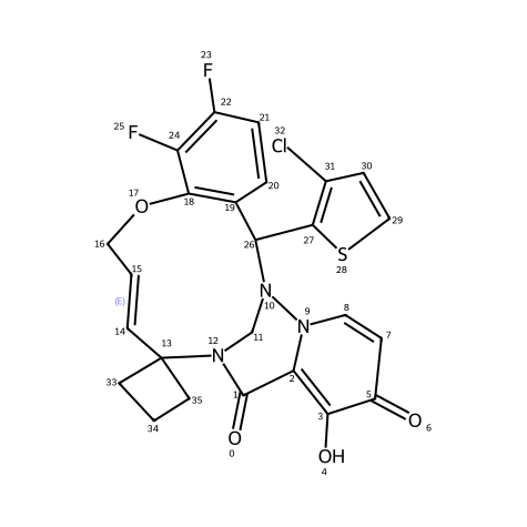 O=C1c2c(O)c(=O)ccn2N2CN1C1(/C=C/COc3c(ccc(F)c3F)C2c2sccc2Cl)CCC1